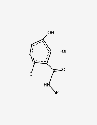 CC(C)NC(=O)c1c(Cl)ncc(O)c1O